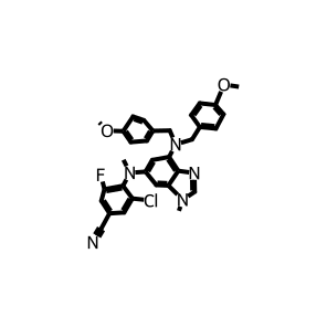 COc1ccc(CN(Cc2ccc(OC)cc2)c2cc(N(C)c3c(F)cc(C#N)cc3Cl)cc3c2ncn3C)cc1